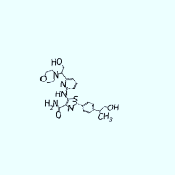 CC(CO)c1ccc(-c2nc(C(N)=O)c(Nc3cccc(C(CO)N4CCOCC4)n3)s2)cc1